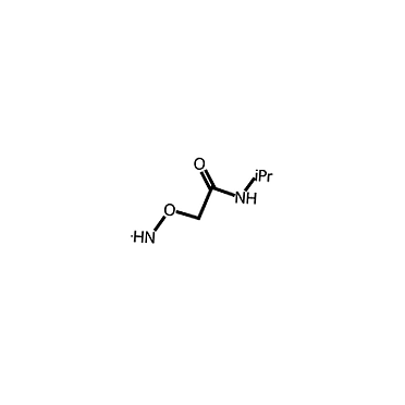 CC(C)NC(=O)CO[NH]